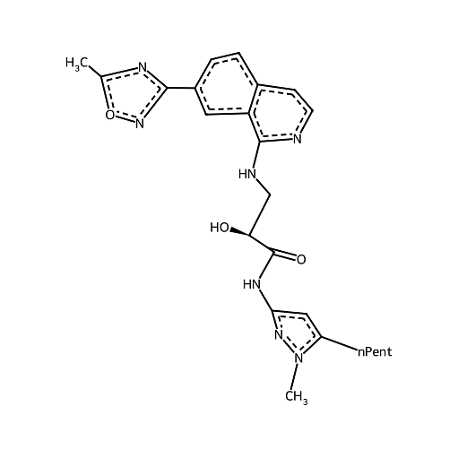 CCCCCc1cc(NC(=O)[C@@H](O)CNc2nccc3ccc(-c4noc(C)n4)cc23)nn1C